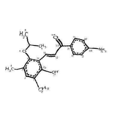 Cc1cc(C)c(OC(C)C)c(C=CC(=O)c2ccc(N)cc2)c1O